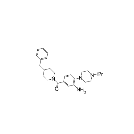 CC(C)N1CCN(c2ccc(C(=O)N3CCC(Cc4ccccc4)CC3)cc2N)CC1